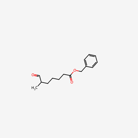 CC(C=O)CCCCC(=O)OCc1ccccc1